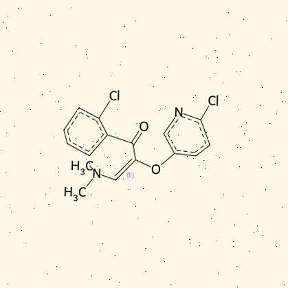 CN(C)/C=C(/Oc1ccc(Cl)nc1)C(=O)c1ccccc1Cl